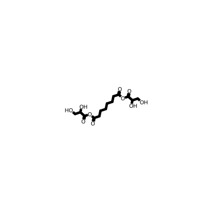 O=C(CCCCCCC(=O)OC(=O)C(O)CO)OC(=O)C(O)CO